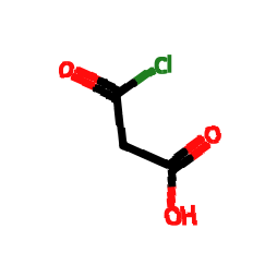 O=C(O)CC(=O)Cl